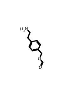 NCCc1ccc(CO[C]=O)cc1